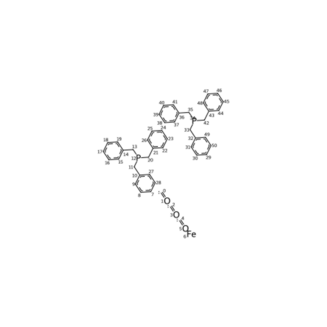 [C]=O.[C]=O.[C]=O.[Fe].c1ccc(CP(Cc2ccccc2)Cc2ccccc2)cc1.c1ccc(CP(Cc2ccccc2)Cc2ccccc2)cc1